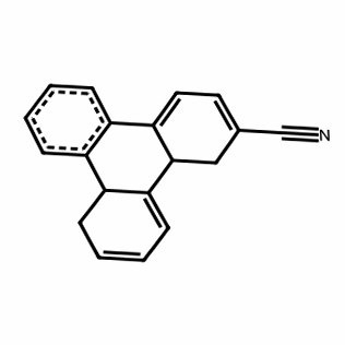 N#CC1=CC=C2c3ccccc3C3CC=CC=C3C2C1